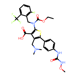 CCOC(=O)N(Cc1c(F)cccc1C(F)(F)F)c1sc(-c2ccc(NC(=O)NOC)cc2)c(CN(C)C)c1C(=O)O